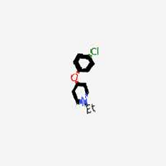 CCN1CCC(Oc2ccc(Cl)cc2)CC1